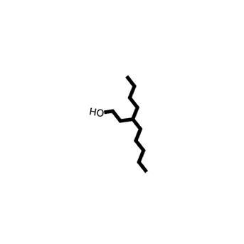 CCCCCC(CCO)CCCC